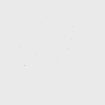 C=C(CN1CCN(C(=O)OC(C)(C)C)CC1)CN(CCC(c1ccccc1)c1ccccc1)C(=O)Nc1cc(OC)c(OC)c(OC)c1